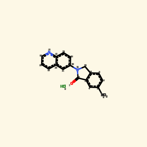 Cl.O=C1c2cc([N+](=O)[O-])ccc2CN1c1ccc2ncccc2c1